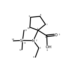 CCN(C1(C(=O)O)CCCC1)[Si](C)(C)C